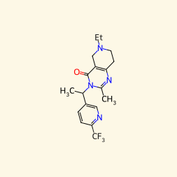 CCN1CCc2nc(C)n(C(C)c3ccc(C(F)(F)F)nc3)c(=O)c2C1